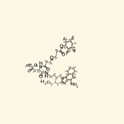 CCCCc1nc2c(N)nc3ccccc3c2n1CCCCNC(=O)C(CS(=O)(=O)O)NC(=O)CCOCCC(=O)Oc1c(F)c(F)cc(F)c1F